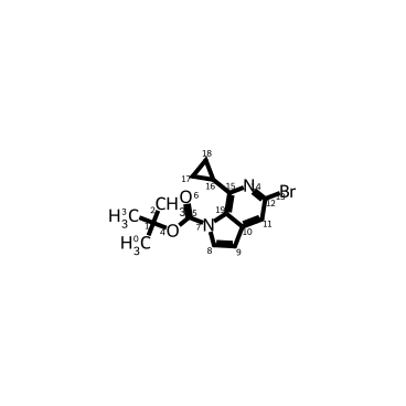 CC(C)(C)OC(=O)n1ccc2cc(Br)nc(C3CC3)c21